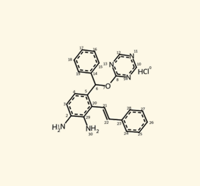 Cl.Nc1ccc(C(Oc2ncncn2)c2ccccc2)c(C=Cc2ccccc2)c1N